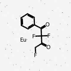 O=C(CF)C(F)(F)C(=O)c1ccccc1.[Eu]